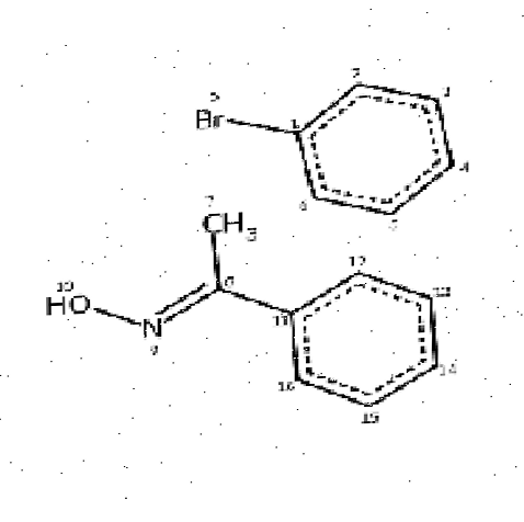 Brc1ccccc1.CC(=NO)c1ccccc1